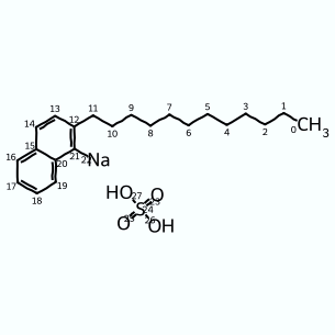 CCCCCCCCCCCCc1ccc2ccccc2[c]1[Na].O=S(=O)(O)O